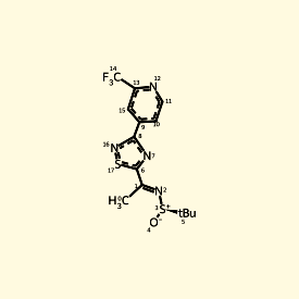 CC(=N[S@+]([O-])C(C)(C)C)c1nc(-c2ccnc(C(F)(F)F)c2)ns1